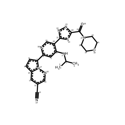 CC(C)Nc1cc(-c2ccc3cc(C#N)cnn23)ncc1-c1nnc(C(=O)N2CCOCC2)s1